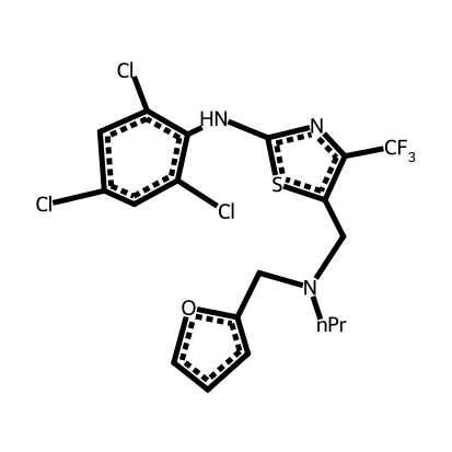 CCCN(Cc1ccco1)Cc1sc(Nc2c(Cl)cc(Cl)cc2Cl)nc1C(F)(F)F